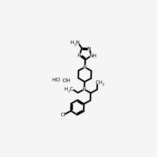 CCC(Cc1ccc(Cl)cc1)N(CC)C1CCN(c2nc(N)n[nH]2)CC1.Cl.Cl